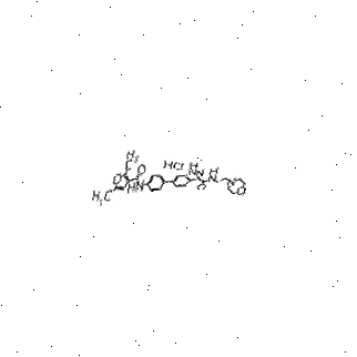 Cc1cc(C(=O)Nc2ccc(-c3ccc4c(C(=O)NCCN5CCOCC5)n[nH]c4c3)cc2)c(C)o1.Cl